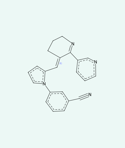 N#Cc1cccc(-n2cccc2/C=C2\CCCN=C2c2cccnc2)c1